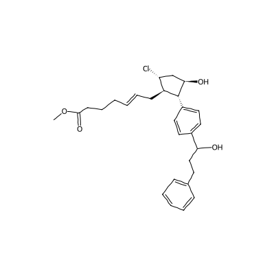 COC(=O)CCCC=CC[C@@H]1[C@@H](c2ccc(C(O)CCc3ccccc3)cc2)[C@H](O)C[C@H]1Cl